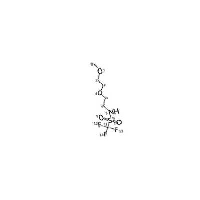 COCCOCCNS(=O)(=O)C(F)(F)F